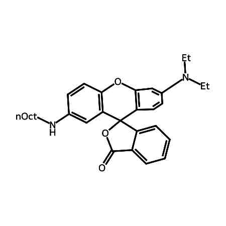 CCCCCCCCNc1ccc2c(c1)C1(OC(=O)c3ccccc31)c1ccc(N(CC)CC)cc1O2